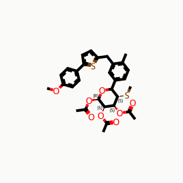 COc1ccc(-c2ccc(Cc3cc(C4O[C@H](OC(C)=O)[C@@H](OC(C)=O)[C@H](OC(C)=O)[C@H]4SC)ccc3C)s2)cc1